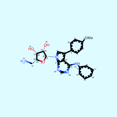 COc1ccc(-c2cn([C@@H]3O[C@H](CN)[C@H](O)[C@@H]3O)c3ncnc(Nc4ccccc4)c23)cc1